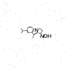 Cc1c2n(c3ccc(C(C)C)cc13)CCC2=NO